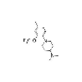 Cc1ccc(N2CCC(N(C)C)CC2)c(OC(F)(F)F)c1